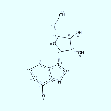 O=c1[nH]cnc2c1ncn2[C@@H]1O[C@H](CO)C(O)[C@@H]1O